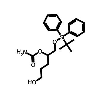 CC(C)(C)[Si](OCC(CCCO)OC(N)=O)(c1ccccc1)c1ccccc1